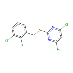 Fc1c(Cl)cccc1CSc1nc(Cl)cc(Cl)n1